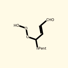 CCCCCC(C=CC=O)OOO